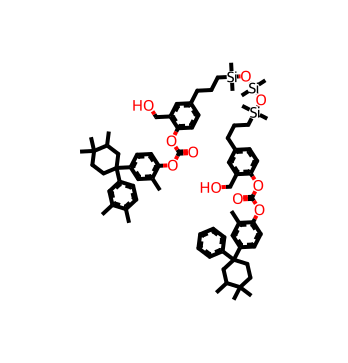 Cc1ccc(C2(c3ccc(OC(=O)Oc4ccc(CCC[Si](C)(C)O[Si](C)(C)O[Si](C)(C)CCCc5ccc(OC(=O)Oc6ccc(C7(c8ccccc8)CCC(C)(C)C(C)C7)cc6C)c(CO)c5)cc4CO)c(C)c3)CCC(C)(C)C(C)C2)cc1C